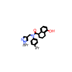 CCCn1cc(CN(C(=O)C2CCCc3c(O)cccc32)c2ccc(C(C)C)cc2)cn1